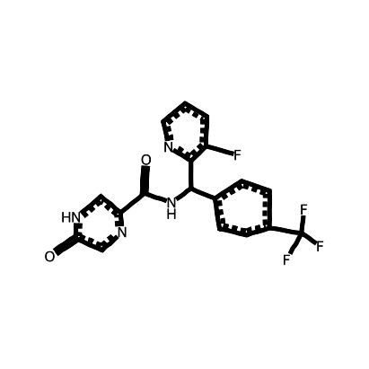 O=C(NC(c1ccc(C(F)(F)F)cc1)c1ncccc1F)c1c[nH]c(=O)cn1